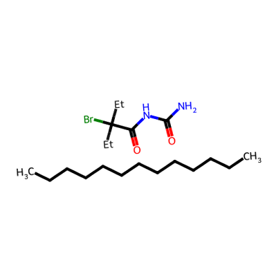 CCC(Br)(CC)C(=O)NC(N)=O.CCCCCCCCCCCCC